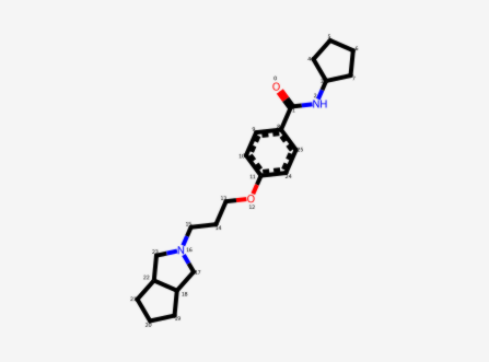 O=C(NC1CCCC1)c1ccc(OCCCN2CC3CCCC3C2)cc1